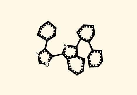 c1ccc(-c2ccccc2-c2sc(-c3ocnc3-c3ccccc3)c3ccccc23)cc1